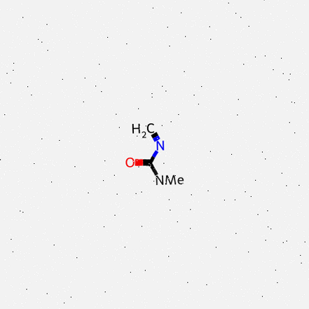 C=NC(=O)NC